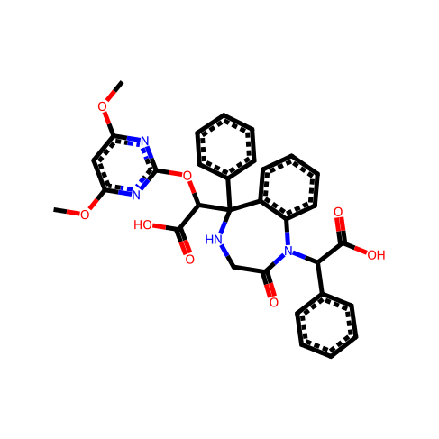 COc1cc(OC)nc(OC(C(=O)O)C2(c3ccccc3)NCC(=O)N(C(C(=O)O)c3ccccc3)c3ccccc32)n1